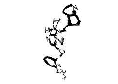 Cc1cccc(Oc2cnc3c(n2)N(Cc2ccc4ncccc4c2)NN3)n1